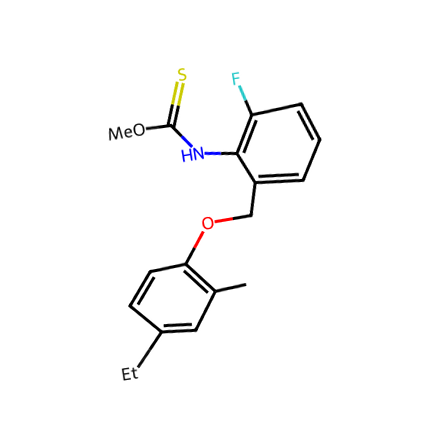 CCc1ccc(OCc2cccc(F)c2NC(=S)OC)c(C)c1